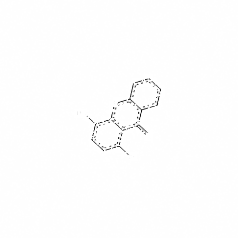 O=c1c2ccccc2sc2c(O)ccc(Br)c12